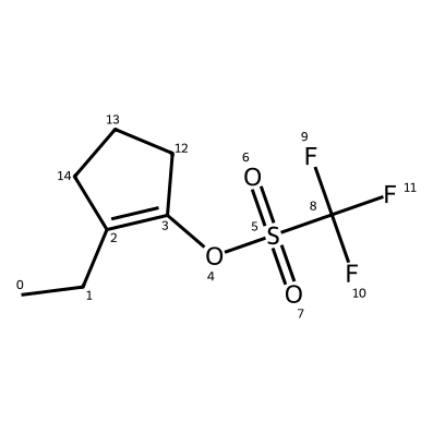 CCC1=C(OS(=O)(=O)C(F)(F)F)CCC1